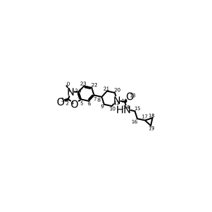 Cn1c(=O)oc2cc(C3CCN(C(=O)NCCC4CC4)CC3)ccc21